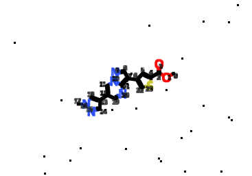 COC(=O)c1cc(-c2cnn3cc(-c4cnn(C)c4)cnc23)cs1